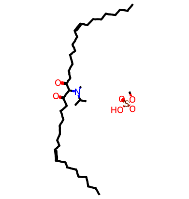 CCCCCCCC/C=C\CCCCCCCC(=O)C(C(=O)CCCCCCC/C=C\CCCCCCCC)N(C)C(C)C.COS(=O)(=O)O